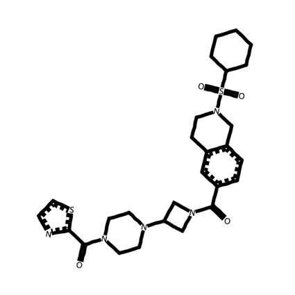 O=C(c1ccc2c(c1)CCN(S(=O)(=O)C1CCCCC1)C2)N1CC(N2CCN(C(=O)c3nccs3)CC2)C1